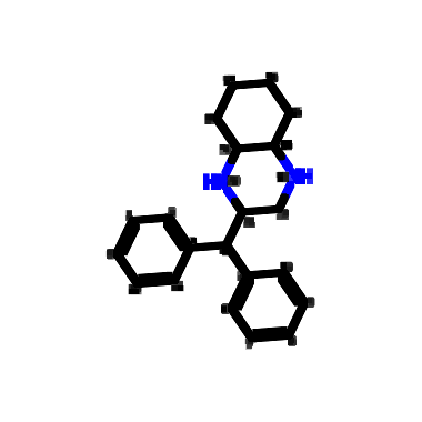 c1ccc(C(c2ccccc2)C2CNC3CCCCC3N2)cc1